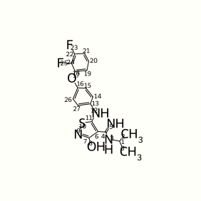 CC(C)NC(=N)c1c(O)nsc1Nc1ccc(Oc2cccc(F)c2F)cc1